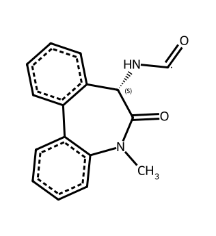 CN1C(=O)[C@@H](N[C]=O)c2ccccc2-c2ccccc21